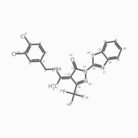 C/C(NCc1ccc(Cl)c(Cl)c1)=C1/C(=O)N(c2nc3ccccc3s2)N=C1C(F)(F)F